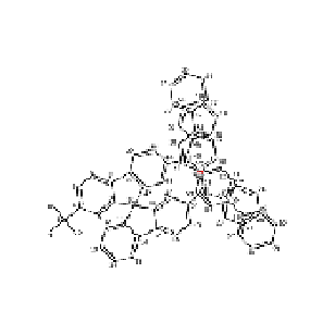 CC(C)(C)c1ccc2c(c1)C1(c3ccccc3-c3ccc(N(c4ccccc4)c4ccc(-c5ccccc5)cc4)cc31)c1cc(N(c3ccccc3)c3ccc(-c4ccccc4)cc3)ccc1-2